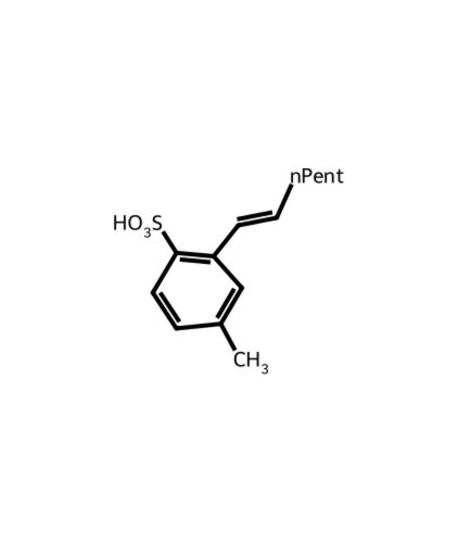 CCCCCC=Cc1cc(C)ccc1S(=O)(=O)O